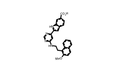 COc1ccc2ccccc2c1CCNc1cc(-c2cc3ccc(C(=O)O)cc3[nH]2)ncn1